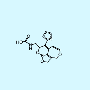 O=C(O)NCC1OB2OCC3=C2C(=C1c1cccs1)C=COC3